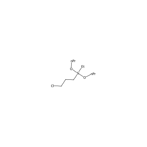 CCCO[Si](CC)(CCCCl)OCCC